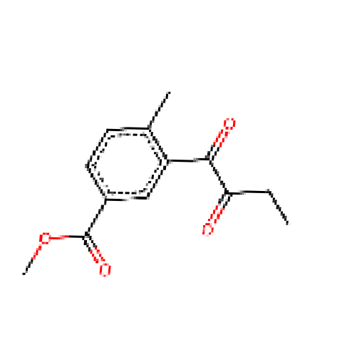 CCC(=O)C(=O)c1cc(C(=O)OC)ccc1C